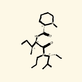 CCCN(C(=O)[C@H](NC(=O)[C@@H]1CCCCN1C)[C@@H](C)CC)[C@H](CC)C(C)C